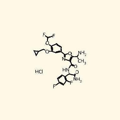 C[C@H](N)c1oc(-c2ccc(OC(F)F)c(OCC3CC3)c2)nc1C(=O)N[C@H](C(N)=O)c1ccc(F)cc1F.Cl